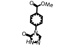 COC(=O)c1ccc(-n2cn[nH]c2=O)cc1